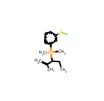 C=C(C)C(CC)[PH](C)(C)c1cccc(SF)c1